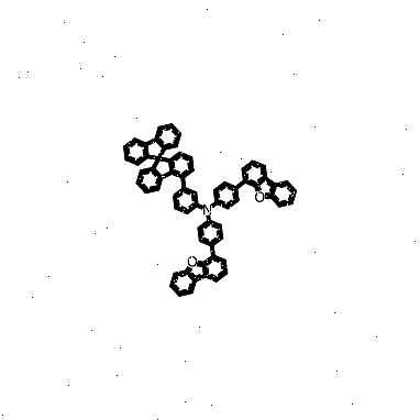 c1cc(-c2cccc3c2-c2ccccc2C32c3ccccc3-c3ccccc32)cc(N(c2ccc(-c3cccc4c3oc3ccccc34)cc2)c2ccc(-c3cccc4c3oc3ccccc34)cc2)c1